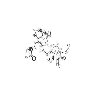 CC(=O)NCCN(c1ncnc2[nH]ccc12)C1CCCCC1.CCCC(N)=O.NC1CCCCC1